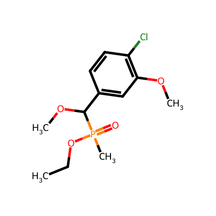 CCOP(C)(=O)C(OC)c1ccc(Cl)c(OC)c1